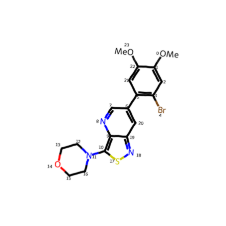 COc1cc(Br)c(-c2cnc3c(N4CCOCC4)snc3c2)cc1OC